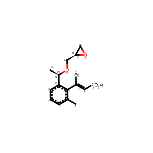 CC/C(=C\C(=O)O)c1c(C)cccc1[C@@H](C)OC[C@H]1CO1